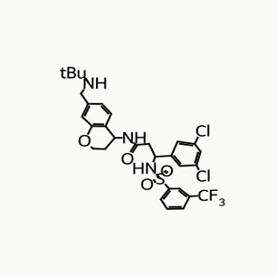 CC(C)(C)NCc1ccc2c(c1)OCCC2NC(=O)CC(NS(=O)(=O)c1cccc(C(F)(F)F)c1)c1cc(Cl)cc(Cl)c1